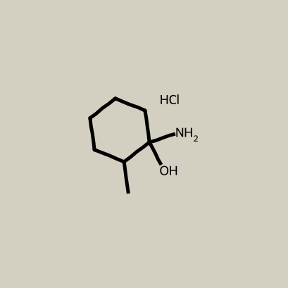 CC1CCCCC1(N)O.Cl